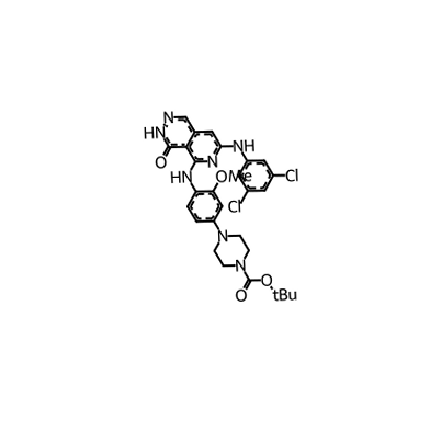 COc1cc(N2CCN(C(=O)OC(C)(C)C)CC2)ccc1Nc1nc(Nc2cc(Cl)cc(Cl)c2)cc2cn[nH]c(=O)c12